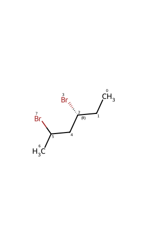 CC[C@@H](Br)CC(C)Br